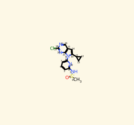 C[S+]([O-])Nc1cccc(-n2c(C3CC3)cc3cnc(Cl)nc32)n1